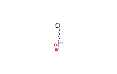 O=C(CBr)NCCCCCCc1ccccc1